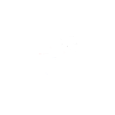 CC(C)(C)[Si](C)(C)OC[C@@H]1CC=C(c2csc(S)n2)CN1C(=O)O